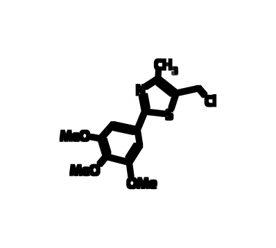 COc1cc(-c2nc(C)c(CCl)s2)cc(OC)c1OC